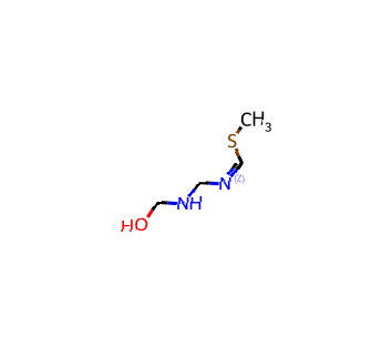 CS/C=N\CNCO